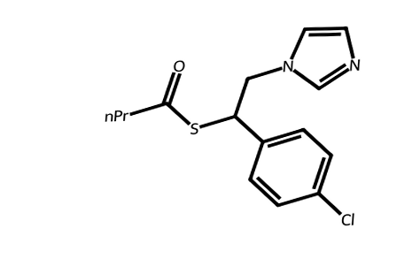 CCCC(=O)SC(Cn1ccnc1)c1ccc(Cl)cc1